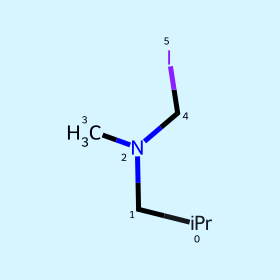 CC(C)CN(C)CI